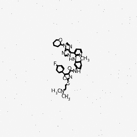 Cc1ccc(NC(=O)c2nc(SCCN(C)C)oc2-c2ccc(F)cc2)cc1Nc1ncccc1-c1ncnc2c1ncn2C1CCCCO1